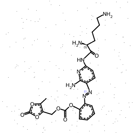 Cc1oc(=O)oc1COC(=O)Oc1ccccc1/N=N/c1ccc(NC(=O)[C@@H](N)CCCCN)nc1N